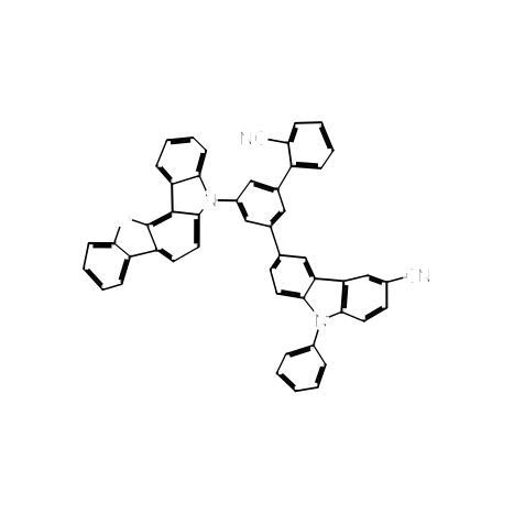 N#Cc1ccc2c(c1)c1cc(-c3cc(-c4ccccc4C#N)cc(-n4c5ccccc5c5c6oc7ccccc7c6ccc54)c3)ccc1n2-c1ccccc1